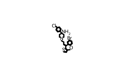 NC1(c2ccc(Cl)cc2)CCN(CCC=C2c3cc(Br)ccc3OCc3ccsc32)CC1